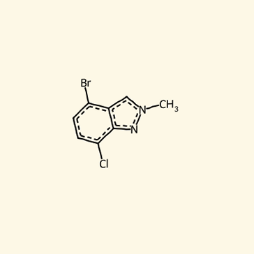 Cn1cc2c(Br)ccc(Cl)c2n1